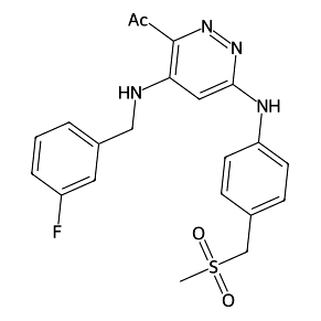 CC(=O)c1nnc(Nc2ccc(CS(C)(=O)=O)cc2)cc1NCc1cccc(F)c1